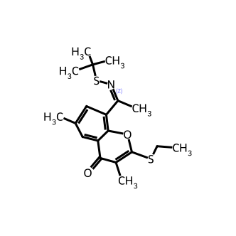 CCSc1oc2c(/C(C)=N\SC(C)(C)C)cc(C)cc2c(=O)c1C